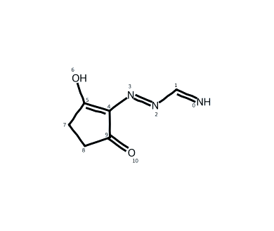 N=CN=NC1=C(O)CCC1=O